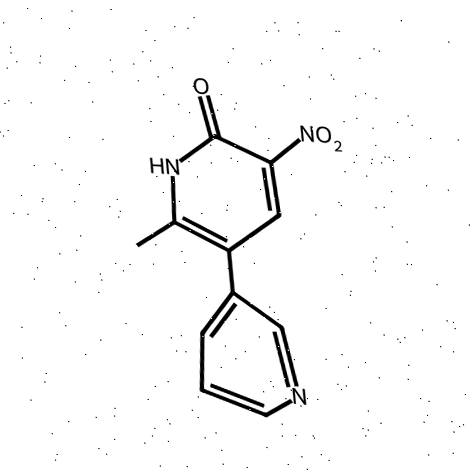 Cc1[nH]c(=O)c([N+](=O)[O-])cc1-c1cccnc1